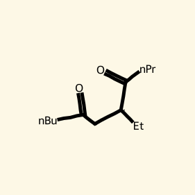 CCCCC(=O)C[C](CC)C(=O)CCC